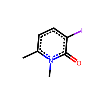 Cc1ccc(I)c(=O)n1C